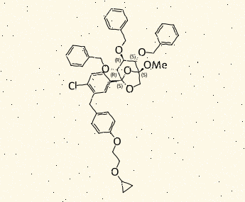 CO[C@@]12CO[C@@](c3ccc(Cl)c(Cc4ccc(OCCOC5CC5)cc4)c3)(O1)[C@H](OCc1ccccc1)[C@@H](OCc1ccccc1)[C@@H]2OCc1ccccc1